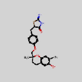 CC1(COc2ccc(CC3SC(=N)NC3=O)cc2)CCc2cc(O)c(C(C)(C)C)cc2O1